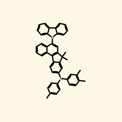 Cc1ccc(N(c2ccc(C)c(C)c2)c2ccc3c(c2)C(C)(C)c2cc(-n4c5ccccc5c5ccccc54)c4ccccc4c2-3)cc1